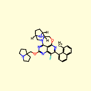 Cc1cccc2cccc(-c3nc4c5c(nc(OCC67CCCN6CCC7)nc5c3F)N3C[C@@H]5CC[C@@H](N5)[C@@H]3CO4)c12